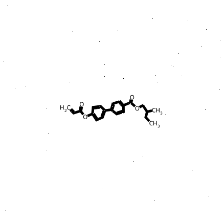 C=CC(=O)Oc1ccc(-c2ccc(C(=O)OCC(C)CC)cc2)cc1